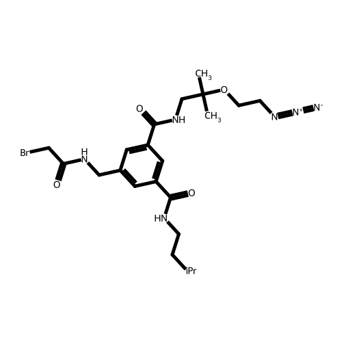 CC(C)CCNC(=O)c1cc(CNC(=O)CBr)cc(C(=O)NCC(C)(C)OCCN=[N+]=[N-])c1